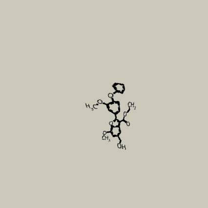 CCOC(=O)c1c(-c2ccc(Oc3ccccc3)c(OC)c2)oc2c(OC)cc(CO)cc12